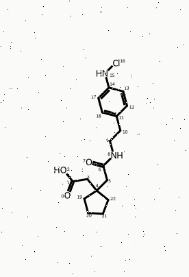 O=C(O)CC1(CC(=O)NCCc2ccc(NCl)cc2)CCCC1